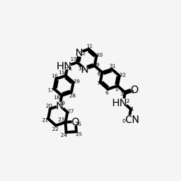 N#CCNC(=O)c1ccc(-c2ccnc(Nc3ccc(N4CCCC5(CCO5)C4)cc3)n2)cc1